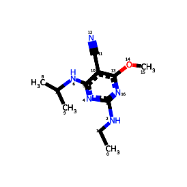 CCNc1nc(NC(C)C)c(C#N)c(OC)n1